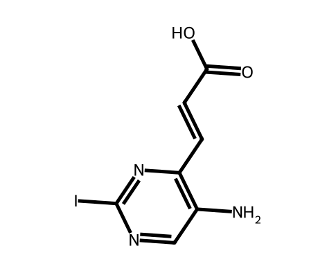 Nc1cnc(I)nc1/C=C/C(=O)O